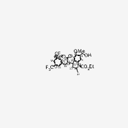 CCOC(=O)N1c2cc(CO)c(OC)cc2C(N(Cc2cc(C(F)(F)F)cc(C(F)(F)F)c2)C(=O)OC)CC1C